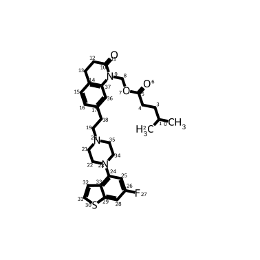 CC(C)CCC(=O)OCN1C(=O)CCc2ccc(CCN3CCN(c4cc(F)cc5sccc45)CC3)cc21